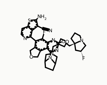 N#Cc1c(N)sc2ccnc(-c3c4c(c5c(N6C7CCC6CN(CC6COC6)C7)nc(OC[C@@]67CCCN6C[C@H](F)C7)nc5c3F)COC4)c12